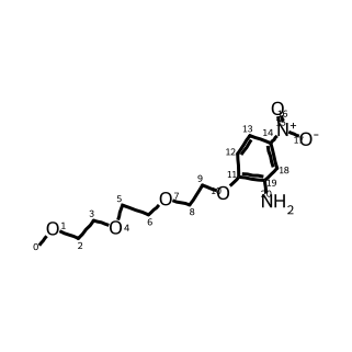 COCCOCCOCCOc1ccc([N+](=O)[O-])cc1N